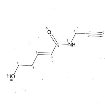 C#CCNC(=O)/C=C/CCO